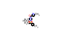 C=CC(c1ccc(C(F)(F)F)cc1)S(=O)(=O)N1CCN(C(=O)c2ccc(C)nc2)CC1(C)C(=O)O